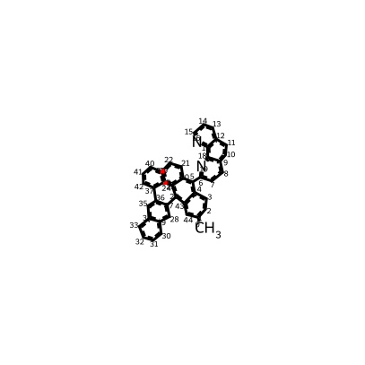 Cc1ccc2c(-c3ccc4ccc5cccnc5c4n3)c3ccccc3c(-c3cc4ccccc4cc3-c3ccccc3)c2c1